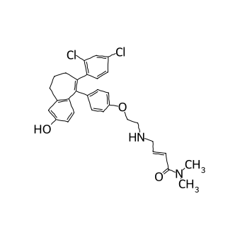 CN(C)C(=O)/C=C/CNCCOc1ccc(C2=C(c3ccc(Cl)cc3Cl)CCCc3cc(O)ccc32)cc1